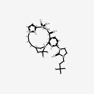 CC(C)(C)CCN1CCN(c2ccc3c(n2)N2CC(CCCn4ccc(n4)S(=O)(=O)NC3=O)CC2(C)C)C1=O